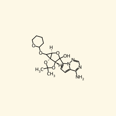 CC1(C)O[C@H]2C(O)(c3ccc4c(N)ncnn34)O[C@@H]3C(OC4CCCCO4)[C@@]32O1